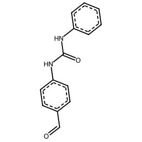 O=Cc1ccc(NC(=O)Nc2ccccc2)cc1